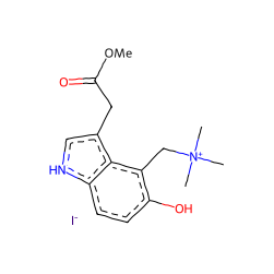 COC(=O)Cc1c[nH]c2ccc(O)c(C[N+](C)(C)C)c12.[I-]